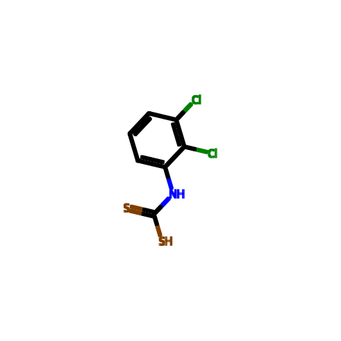 S=C(S)Nc1cccc(Cl)c1Cl